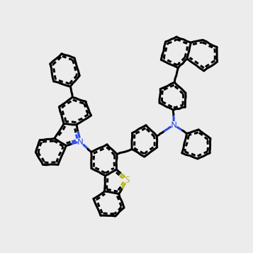 c1ccc(-c2ccc3c(c2)c2ccccc2n3-c2cc(-c3ccc(N(c4ccccc4)c4ccc(-c5cccc6ccccc56)cc4)cc3)c3sc4ccccc4c3c2)cc1